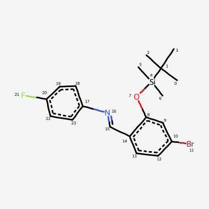 CC(C)(C)[Si](C)(C)Oc1cc(Br)ccc1/C=N/c1ccc(F)cc1